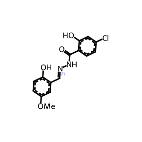 COc1ccc(O)c(/C=N/NC(=O)c2ccc(Cl)cc2O)c1